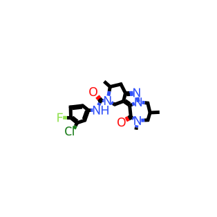 CC1CN(C)C(=O)c2c3c(nn2C1)CC(C)N(C(=O)Nc1ccc(F)c(Cl)c1)C3